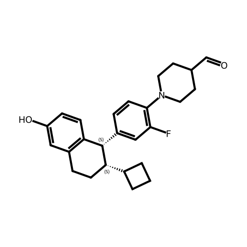 O=CC1CCN(c2ccc([C@H]3c4ccc(O)cc4CC[C@H]3C3CCC3)cc2F)CC1